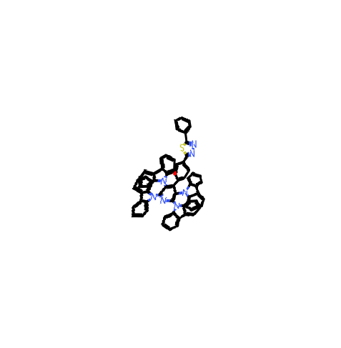 c1ccc(-c2nnc(-c3ccc(-c4c(-n5c6ccccc6c6ccccc65)c(-n5c6ccccc6c6ccccc65)nc(-n5c6ccccc6c6ccccc65)c4-n4c5ccccc5c5ccccc54)cc3)s2)cc1